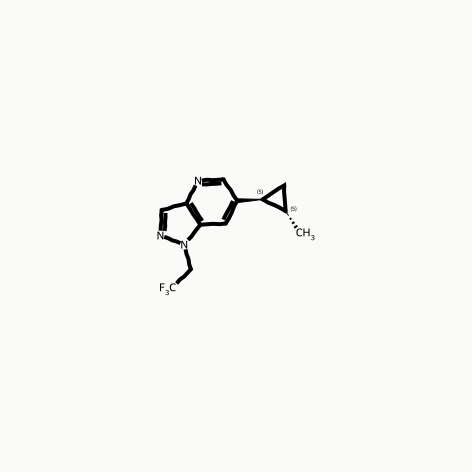 C[C@H]1C[C@@H]1c1cnc2cnn(CC(F)(F)F)c2c1